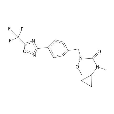 CON(Cc1ccc(-c2noc(C(F)(F)F)n2)cc1)C(=O)N(C)C1CC1